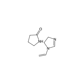 C=CN1C=NCC1.O=C1CCCN1